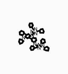 c1ccc(-c2nc(-c3ccccc3)nc(-n3c4ccc(-n5c6ccccc6c6nc7n(-c8ccccc8)c8ccccc8n7c65)cc4c4cc5c(cc43)c3ccccc3n5-c3ccccc3)n2)cc1